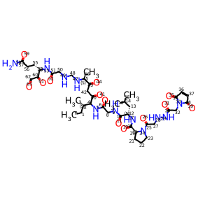 CC[C@H](C)C(NC(=O)CNC(=O)[C@H](CC(C)C)NC(=O)[C@@H]1CCCN1C(=O)CNNC(=O)CN1C(=O)C=CC1=O)C(=O)CC(=O)[C@H](C)NCNCC(=O)N[C@@H](CCC(N)=O)C(=O)C=O